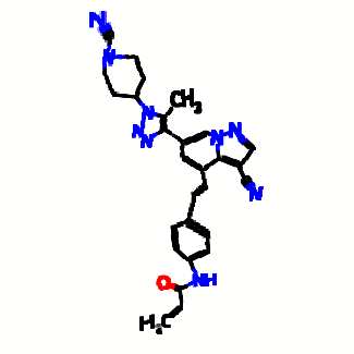 C=CC(=O)Nc1ccc(/C=C/c2cc(-c3nnn(C4CCN(C#N)CC4)c3C)cn3ncc(C#N)c23)cc1